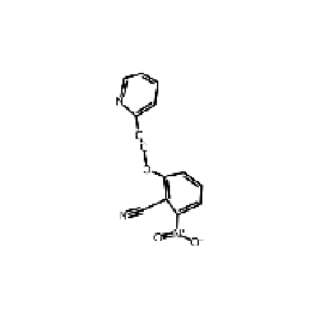 N#Cc1c(OCCc2ccccn2)cccc1[N+](=O)[O-]